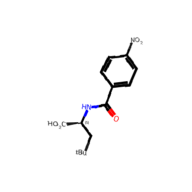 CC(C)(C)C[C@H](NC(=O)c1ccc([N+](=O)[O-])cc1)C(=O)O